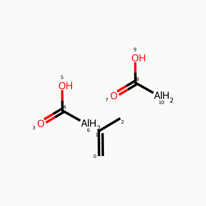 C=CC.O=[C](O)[AlH2].O=[C](O)[AlH2]